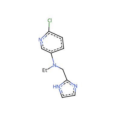 CCN(Cc1ncc[nH]1)c1ccc(Cl)nc1